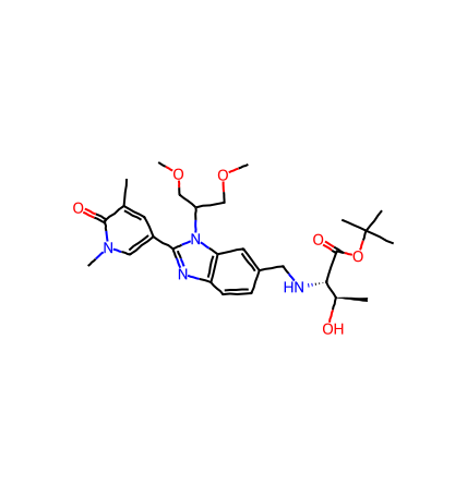 COCC(COC)n1c(-c2cc(C)c(=O)n(C)c2)nc2ccc(CN[C@H](C(=O)OC(C)(C)C)[C@@H](C)O)cc21